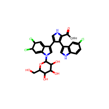 COC(=O)c1[nH]cc(-c2cn(C3OC(CO)C(O)C(O)C3O)c3c2=CC(Cl)C(Cl)C=3)c1-c1c[nH]c2ccc(Cl)cc12